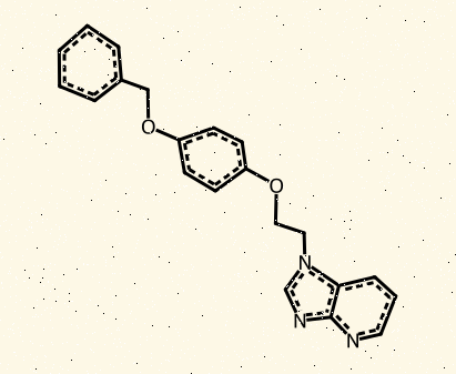 c1ccc(COc2ccc(OCCn3cnc4ncccc43)cc2)cc1